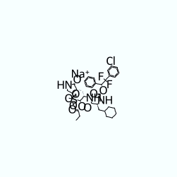 CCC(=O)OC([C@H](C[C@@H]1CCNC1=O)NC(=O)[C@H](CC1CCCCC1)NC(=O)O[C@H](c1ccccc1)C(F)(F)c1cccc(Cl)c1)S(=O)(=O)[O-].[Na+]